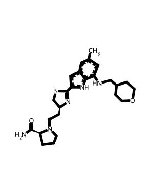 Cc1cc(NCC2CCOCC2)c2[nH]c(C3=N[C@@H](CCN4CCC[C@H]4C(N)=O)CS3)cc2c1